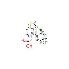 Cl.O=C(O)CN1CCc2sccc2[C@H]1c1ccccc1Cl